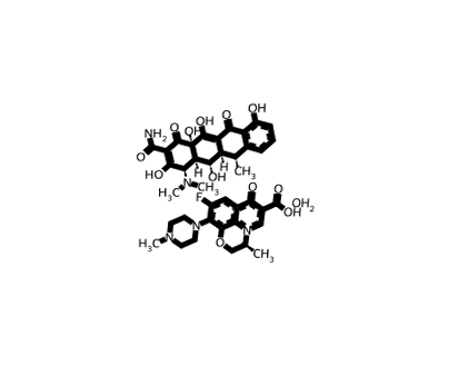 C[C@H]1COc2c(N3CCN(C)CC3)c(F)cc3c(=O)c(C(=O)O)cn1c23.C[C@H]1c2cccc(O)c2C(=O)C2=C(O)[C@]3(O)C(=O)C(C(N)=O)=C(O)[C@@H](N(C)C)[C@@H]3[C@@H](O)[C@@H]21.O